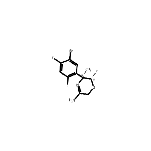 C[C@@]1(c2cc(Br)c(F)cc2F)N=C(N)CO[C@H]1F